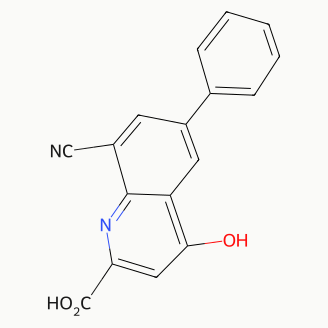 N#Cc1cc(-c2ccccc2)cc2c(O)cc(C(=O)O)nc12